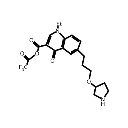 CCn1cc(C(=O)OC(=O)C(F)(F)F)c(=O)c2cc(CCCOC3CCNC3)ccc21